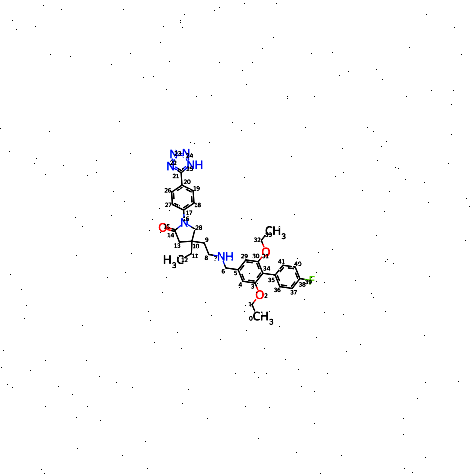 CCOc1cc(CNCCC2(CC)CC(=O)N(c3ccc(-c4nnn[nH]4)cc3)C2)cc(OCC)c1-c1ccc(F)cc1